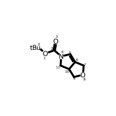 CC(C)(C)OC(=O)N1C=C2COCC2C1